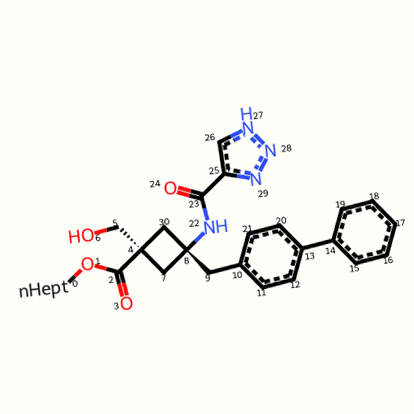 CCCCCCCOC(=O)[C@]1(CO)C[C@@](Cc2ccc(-c3ccccc3)cc2)(NC(=O)c2c[nH]nn2)C1